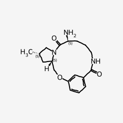 C[C@H]1C[C@H]2COc3cccc(c3)C(=O)NCCC[C@H](N)C(=O)N2C1